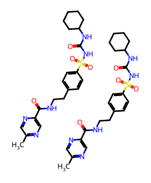 Cc1cnc(C(=O)NCCc2ccc(S(=O)(=O)NC(=O)NC3CCCCC3)cc2)cn1.Cc1cnc(C(=O)NCCc2ccc(S(=O)(=O)NC(=O)NC3CCCCC3)cc2)cn1